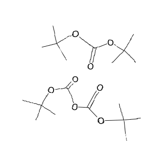 CC(C)(C)OC(=O)OC(=O)OC(C)(C)C.CC(C)(C)OC(=O)OC(C)(C)C